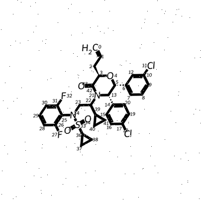 C=CC[C@H]1O[C@H](c2cccc(Cl)c2)[C@H](c2ccc(Cl)cc2)N(C(CN(c2c(F)cccc2F)S(=O)(=O)C2CC2)C2CC2)C1=O